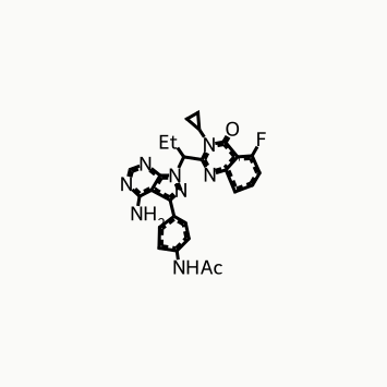 CCC(c1nc2cccc(F)c2c(=O)n1C1CC1)n1nc(-c2ccc(NC(C)=O)cc2)c2c(N)ncnc21